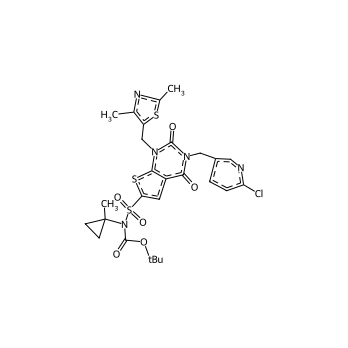 Cc1nc(C)c(Cn2c(=O)n(Cc3ccc(Cl)nc3)c(=O)c3cc(S(=O)(=O)N(C(=O)OC(C)(C)C)C4(C)CC4)sc32)s1